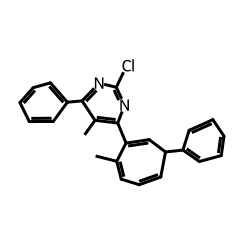 CC1=CC=CC(c2ccccc2)C=C1c1nc(Cl)nc(-c2ccccc2)c1C